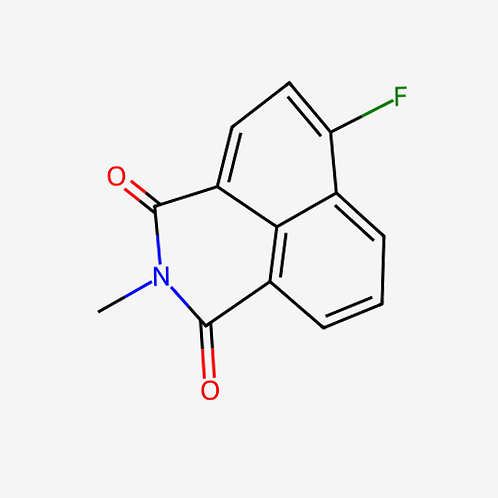 CN1C(=O)c2cccc3c(F)ccc(c23)C1=O